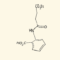 CCOC(=O)CCC(=O)Nc1ccccc1C(=O)O